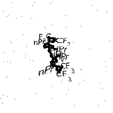 CCCc1ccc2c(c1-c1cc(C(F)(F)F)cc(C(F)(F)F)c1)C=C(CC(C)C)C2C[SiH2]CC1C(CC(C)C)=Cc2c1ccc(CCC)c2-c1cc(C(F)(F)F)cc(C(F)(F)F)c1